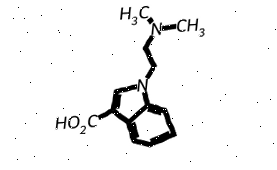 CN(C)CCn1cc(C(=O)O)c2ccccc21